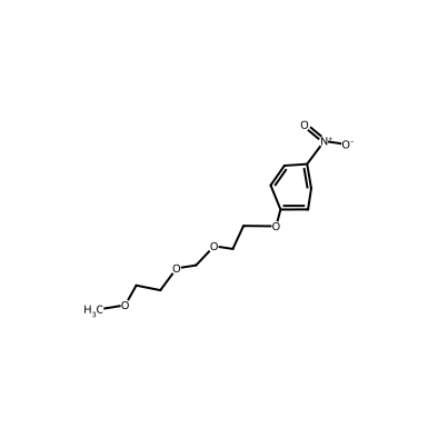 COCCOCOCCOc1ccc([N+](=O)[O-])cc1